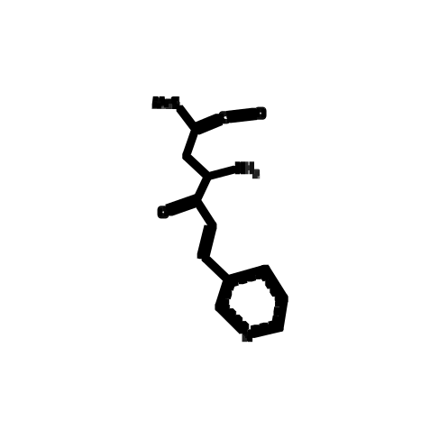 CSC(=C=O)CC(N)C(=O)C=Cc1cccnc1